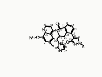 COc1cc(C)cc2c(N3C(=O)c4cccc(-c5cn(C)nc5C(F)(F)F)c4CC3Cn3ccnc3)ccnc12